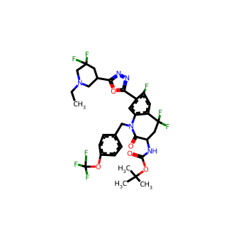 CCN1CC(c2nnc(-c3cc4c(cc3F)C(F)(F)CC(NC(=O)OC(C)(C)C)C(=O)N4Cc3ccc(OC(F)(F)F)cc3)o2)CC(F)(F)C1